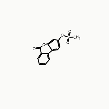 CS(=O)(=O)Oc1ccc2c(c1)oc(=O)c1ccccc12